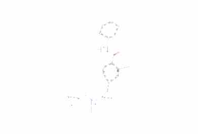 Cc1cc(C2CC2NCC2CC2)ccc1C(=O)Nc1ccccc1